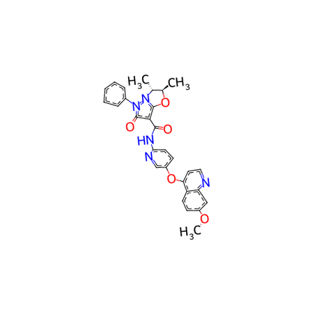 COc1ccc2c(Oc3ccc(NC(=O)c4c5n(n(-c6ccccc6)c4=O)[C@H](C)[C@@H](C)O5)nc3)ccnc2c1